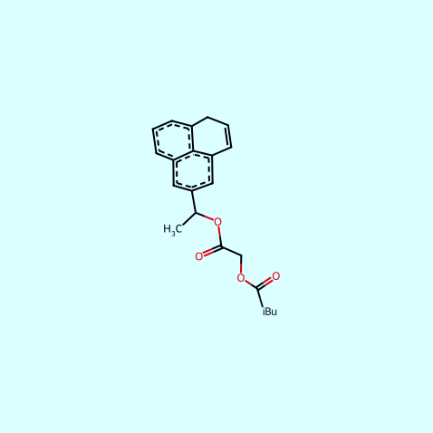 CCC(C)C(=O)OCC(=O)OC(C)c1cc2c3c(cccc3c1)CC=C2